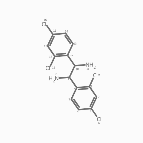 NC(c1ccc(Cl)cc1Cl)C(N)c1ccc(Cl)cc1Cl